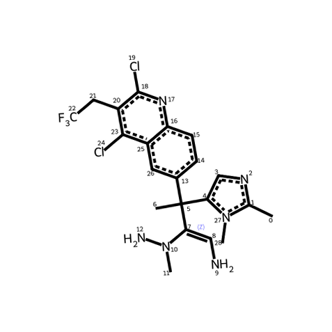 Cc1ncc(C(C)(/C(=C/N)N(C)N)c2ccc3nc(Cl)c(CC(F)(F)F)c(Cl)c3c2)n1C